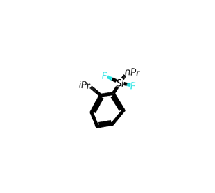 CCC[Si](F)(F)c1ccccc1C(C)C